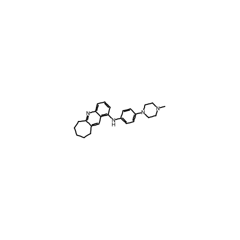 CN1CCN(c2ccc(Nc3cccc4nc5c(cc34)CCCCC5)cc2)CC1